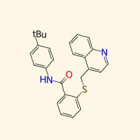 CC(C)(C)c1ccc(NC(=O)c2ccccc2SCc2ccnc3ccccc23)cc1